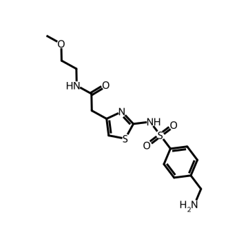 COCCNC(=O)Cc1csc(NS(=O)(=O)c2ccc(CN)cc2)n1